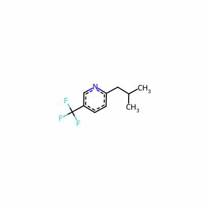 CC(C)Cc1ccc(C(F)(F)F)cn1